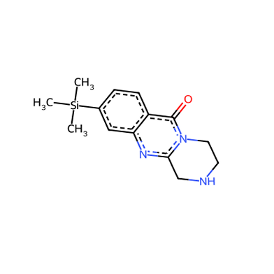 C[Si](C)(C)c1ccc2c(=O)n3c(nc2c1)CNCC3